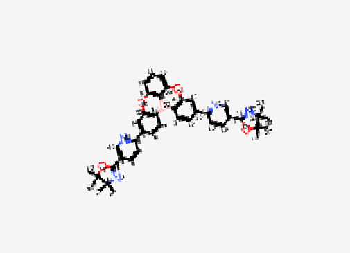 CC1(C)N=C(c2ccc(-c3ccc4c(c3)Oc3cccc5c3B4c3ccc(-c4ccc(C6=NC(C)(C)C(C)(C)O6)cn4)cc3O5)nc2)OC1(C)C